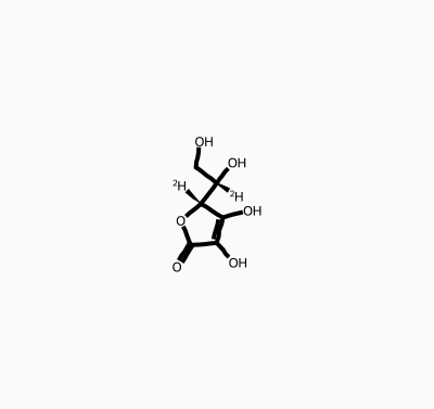 [2H][C@](O)(CO)[C@@]1([2H])OC(=O)C(O)=C1O